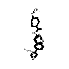 COC1CCC(C(=O)Nc2cc3cc(-c4cncn4C)ccc3nn2)CC1